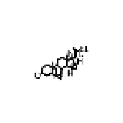 C=C(CC)C[C@@]1(N)[C@H]2C[C@H]2C2C3C(CC[C@@]21C)[C@@]1(C)CCC(=O)C=C1[C@@H]1C[C@H]31